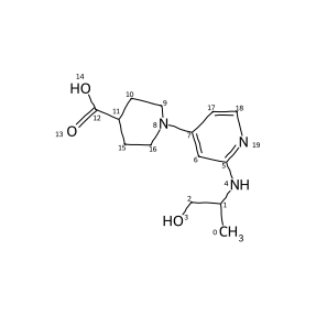 CC(CO)Nc1cc(N2CCC(C(=O)O)CC2)ccn1